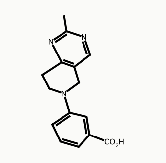 Cc1ncc2c(n1)CCN(c1cccc(C(=O)O)c1)C2